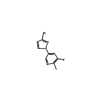 Cc1ncc(-n2ccc(C(C)C)n2)cc1F